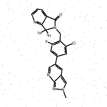 [2H]C1([2H])c2ncccc2C(=O)N1Cc1c(F)cc(-c2cnc3nn(C)cc3c2)cc1Cl